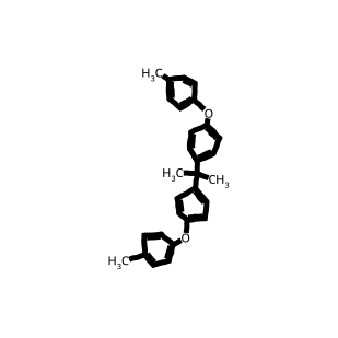 Cc1ccc(Oc2ccc(C(C)(C)c3ccc(Oc4ccc(C)cc4)cc3)cc2)cc1